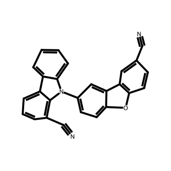 N#Cc1ccc2oc3ccc(-n4c5ccccc5c5cccc(C#N)c54)cc3c2c1